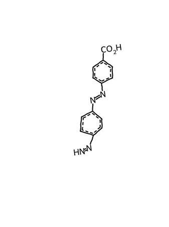 N=Nc1ccc(N=Nc2ccc(C(=O)O)cc2)cc1